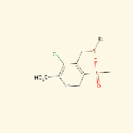 CCSCc1c(S(C)(=O)=O)ccc(C(=O)O)c1Cl